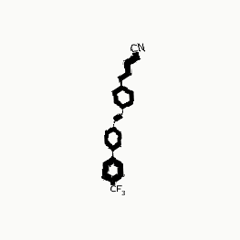 N#CC=CCC[C@H]1CC[C@H](C=C[C@H]2CC[C@H](c3ccc(C(F)(F)F)cc3)CC2)CC1